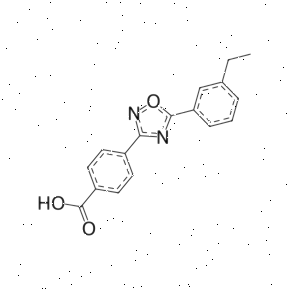 CCc1cccc(-c2nc(-c3ccc(C(=O)O)cc3)no2)c1